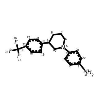 Nc1ccc(N2CCCC(c3ccc(C(F)(F)F)cc3)C2)cc1